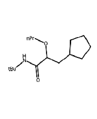 CCCOC(CC1CCCC1)C(=O)NC(C)(C)C